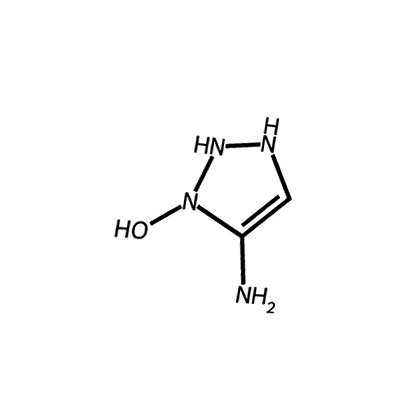 NC1=CNNN1O